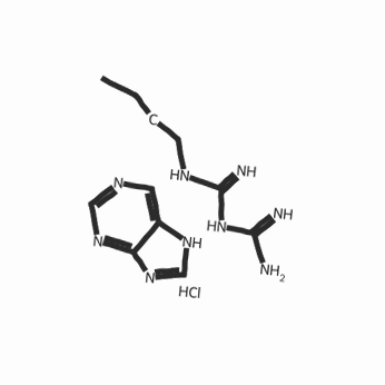 CCCCNC(=N)NC(=N)N.Cl.c1ncc2[nH]cnc2n1